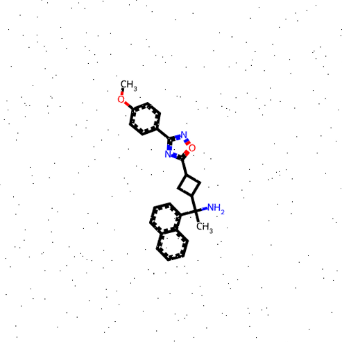 COc1ccc(-c2noc(C3CC(C(C)(N)c4cccc5ccccc45)C3)n2)cc1